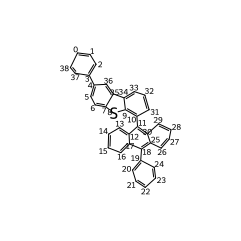 c1ccc(-c2ccc3sc4c(-c5c6ccccc6c(-c6ccccc6)c6ccccc56)cccc4c3c2)cc1